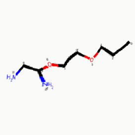 CCCOCCOC(N)CN